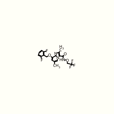 Cc1cc(OCc2c(F)cccc2F)c2nc(C)c(C(=O)NOCC(F)(F)F)n2c1